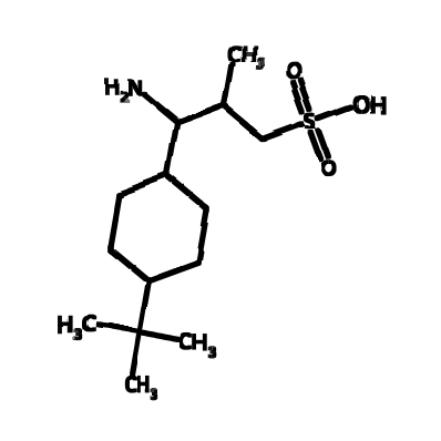 CC(CS(=O)(=O)O)C(N)C1CCC(C(C)(C)C)CC1